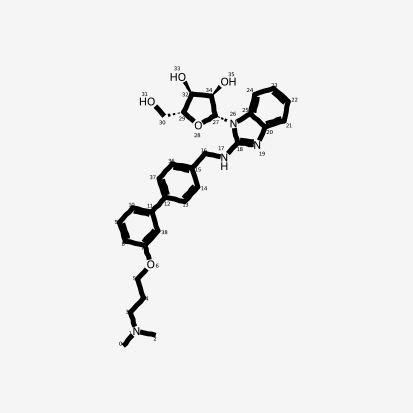 CN(C)CCCOc1cccc(-c2ccc(CNc3nc4ccccc4n3[C@@H]3O[C@H](CO)[C@@H](O)[C@H]3O)cc2)c1